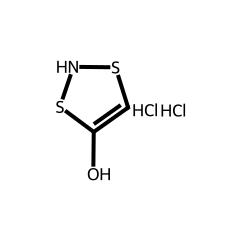 Cl.Cl.OC1=CSNS1